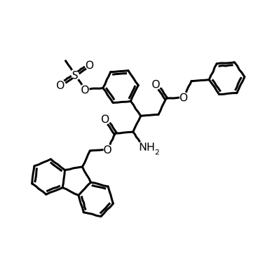 CS(=O)(=O)Oc1cccc(C(CC(=O)OCc2ccccc2)C(N)C(=O)OCC2c3ccccc3-c3ccccc32)c1